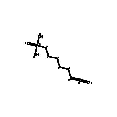 O=C=NCCCCCP(=O)(O)O